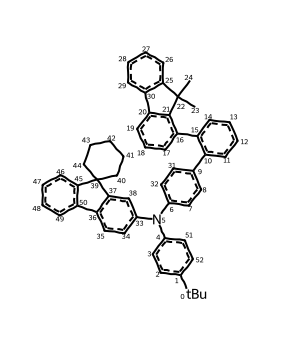 CC(C)(C)c1ccc(N(c2ccc(-c3ccccc3-c3cccc4c3C(C)(C)c3ccccc3-4)cc2)c2ccc3c(c2)C2(CCCCC2)c2ccccc2-3)cc1